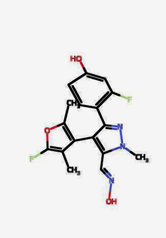 Cc1oc(F)c(C)c1-c1c(-c2ccc(O)cc2F)nn(C)c1/C=N/O